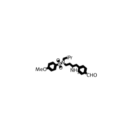 COc1ccc(S(=O)(=O)N(CC[C@@H](N)Cc2ccc(C=O)cc2)CC(C)C)cc1